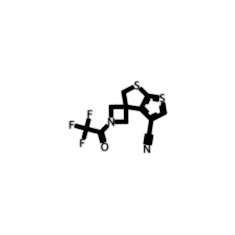 N#Cc1csc2c1C1(CS2)CN(C(=O)C(F)(F)F)C1